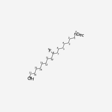 CCCCCCCCCCCCCCCCCC(F)CCCCCCCCO